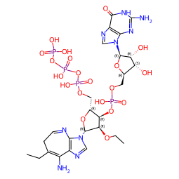 CCO[C@@H]1[C@H](OP(=O)(O)OC[C@H]2O[C@@H](n3cnc4c(=O)[nH]c(N)nc43)[C@H](O)[C@@H]2O)[C@@H](COP(=O)(O)OP(=O)(O)OP(=O)(O)O)O[C@H]1n1cnc2c1N=CCC(CC)=C2N